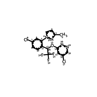 Cc1ccn(-c2cc(Cl)ccc2[C@@H](Oc2cc(Cl)cnn2)C(F)(F)F)n1